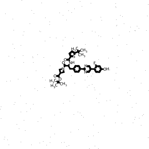 CC(C)(C)OC(=O)C1CN(C(=O)C(Cc2ccc(-c3ncc(-c4ccc(O)cc4F)cn3)cc2)NC(=O)c2ccc(C(C)(C)C)s2)C1